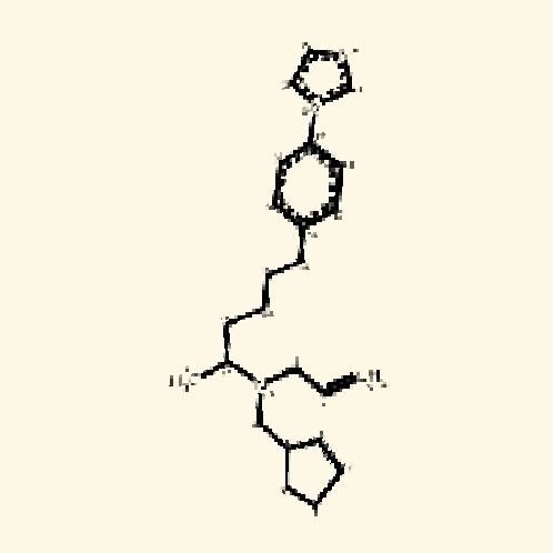 C=CCN(CC1CCCC1)C(C)CCCCc1ccc(-n2ccnc2)cc1